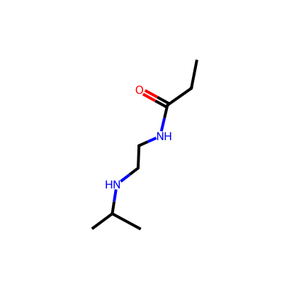 CCC(=O)NCCNC(C)C